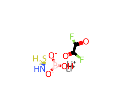 N=[SH2].O=C(F)C(=O)F.[Li+].[Li+].[O-]B([O-])O